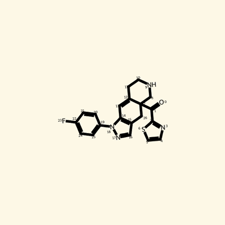 O=C(c1nccs1)C12CNCCC1=Cc1c(cnn1-c1ccc(F)cc1)C2